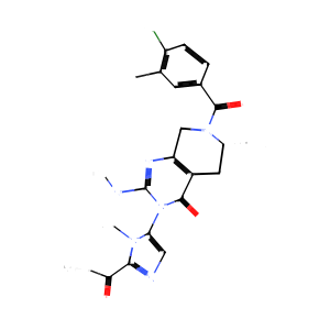 COC(=O)c1ncc(-n2c(NC(C)C)nc3c(c2=O)C[C@@H](C)N(C(=O)c2ccc(Cl)c(C(F)(F)F)c2)C3)n1C